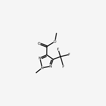 COC(=O)c1nn(C)nc1C(F)(F)F